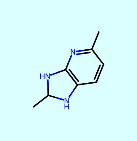 Cc1ccc2c(n1)NC(C)N2